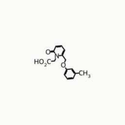 Cc1cccc(OCc2cccc(=O)n2CC(=O)O)c1